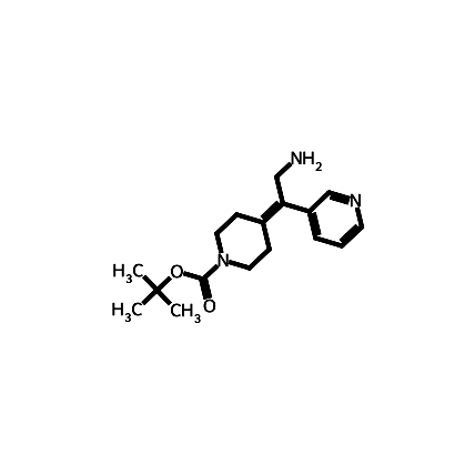 CC(C)(C)OC(=O)N1CCC(=C(CN)c2cccnc2)CC1